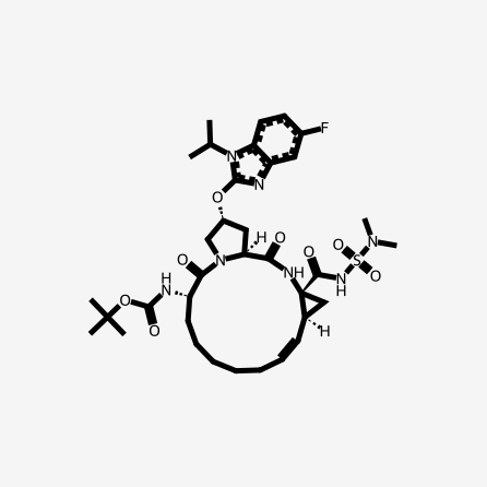 CC(C)n1c(O[C@@H]2C[C@H]3C(=O)N[C@]4(C(=O)NS(=O)(=O)N(C)C)C[C@H]4/C=C\CCCCC[C@H](NC(=O)OC(C)(C)C)C(=O)N3C2)nc2cc(F)ccc21